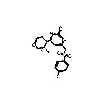 C[C@H]1COCCN1c1cc(CS(=O)(=O)c2ccc(F)cc2)nc(Cl)n1